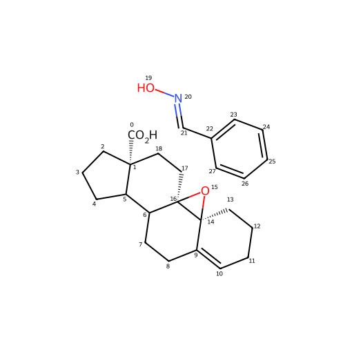 O=C(O)[C@@]12CCCC1C1CCC3=CCCC[C@]34O[C@]14CC2.ON=Cc1ccccc1